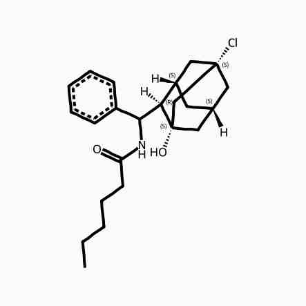 CCCCCC(=O)NC(c1ccccc1)[C@H]1[C@H]2C[C@@H]3C[C@](Cl)(C2)C[C@@]1(O)C3